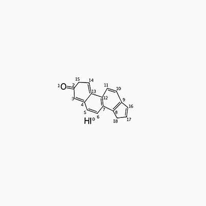 I.O=C1C=c2ccc3c4c(ccc3c2=CC1)C=CC4